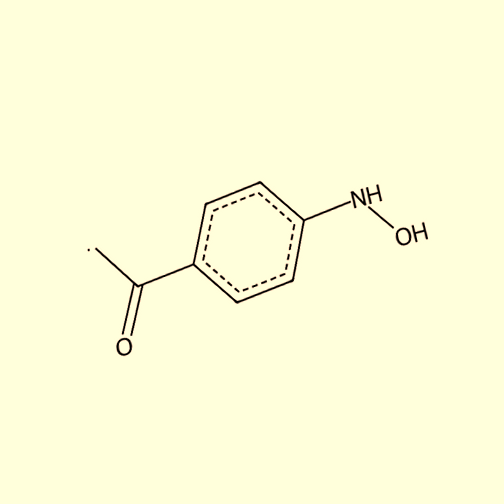 [CH2]C(=O)c1ccc(NO)cc1